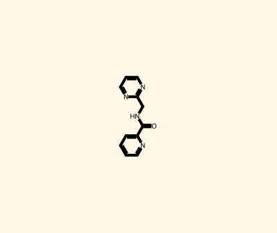 O=C(NCc1ncccn1)c1ccccn1